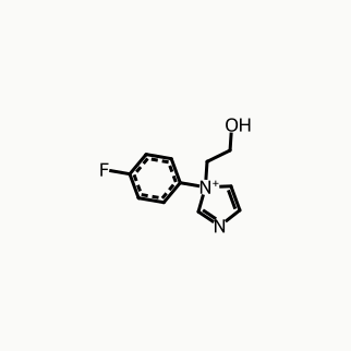 OCC[N+]1(c2ccc(F)cc2)C=CN=C1